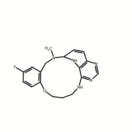 CN1Cc2cc(F)ccc2OCCCNc2ncnc3c2NC1C=C3